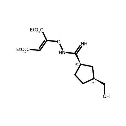 CCOC(=O)C=C(ONC(=N)[C@@H]1CC[C@H](CO)C1)C(=O)OCC